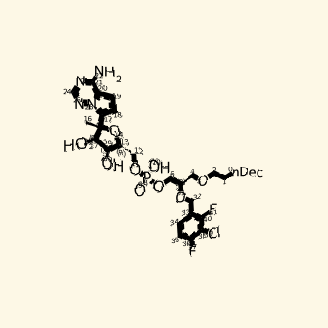 CCCCCCCCCCCCOC[C@H](COP(=O)(O)OC[C@H]1O[C@@](C)(c2ccc3c(N)ncnn23)[C@H](O)[C@@H]1O)OCc1ccc(F)c(Cl)c1F